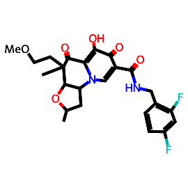 COCCC1(C)C(=O)c2c(O)c(=O)c(C(=O)NCc3ccc(F)cc3F)cn2C2CC(C)OC21